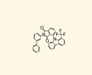 O=C1c2cccc(-n3c4ccccc4c4cccc(C(F)(F)F)c43)c2C(=O)N1c1cccc(-c2ccccc2)c1